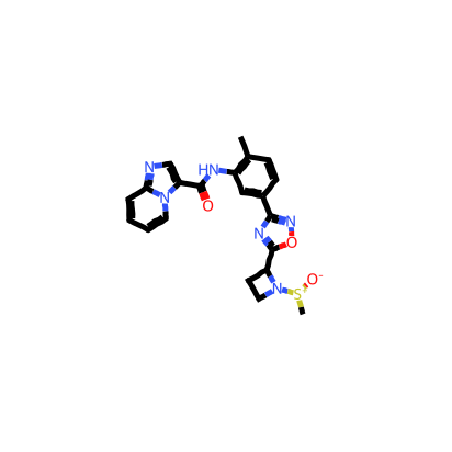 Cc1ccc(-c2noc(C3CCN3[S+](C)[O-])n2)cc1NC(=O)c1cnc2ccccn12